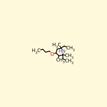 CCCCOC1CC(C)(CC)NC(C)(CC)C1C